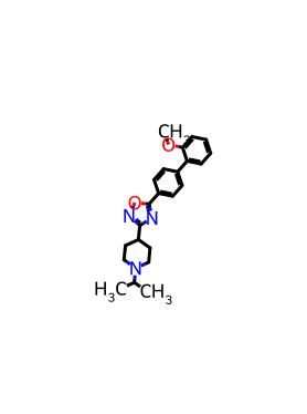 COc1ccccc1-c1ccc(-c2nc(C3CCN(C(C)C)CC3)no2)cc1